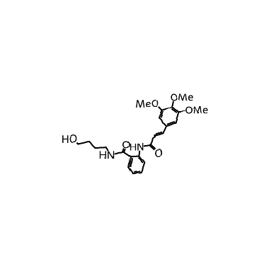 COc1cc(/C=C/C(=O)Nc2ccccc2C(=O)NCCCCO)cc(OC)c1OC